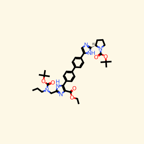 CCCN(Cc1nc(C(=O)OCC)c(-c2ccc(-c3ccc(-c4cnc([C@@H]5CCCN5C(=O)OC(C)(C)C)[nH]4)cc3)cc2)[nH]1)C(=O)OC(C)(C)C